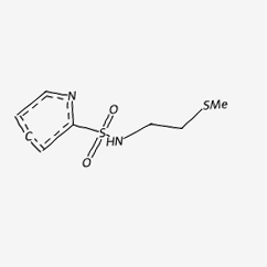 CSCCNS(=O)(=O)c1ccccn1